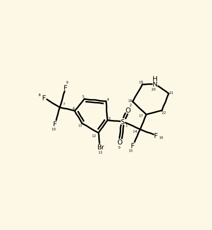 O=S(=O)(c1ccc(C(F)(F)F)cc1Br)C(F)(F)C1CCNCC1